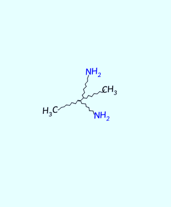 CCCCCCCC/C=C(\CCCCCCCN)C(CCCCCCCC)CCCCCCCCN